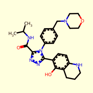 CC(C)NC(=O)c1nnc(-c2ccc3c(c2O)CCCN3)n1-c1ccc(CN2CCOCC2)cc1